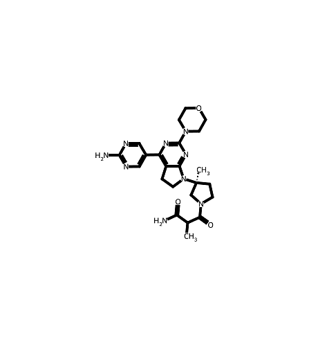 CC(C(N)=O)C(=O)N1CC[C@](C)(N2CCc3c(-c4cnc(N)nc4)nc(N4CCOCC4)nc32)C1